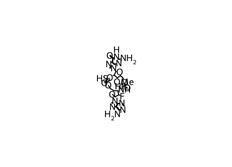 COC1C2CO[PH](=O)NC3C(CO[P@@](=O)(S)OC1C(n1cnc4c(=O)[nH]c(N)nc41)O2)OC(n1cnc2c(N)ncnc21)C3F